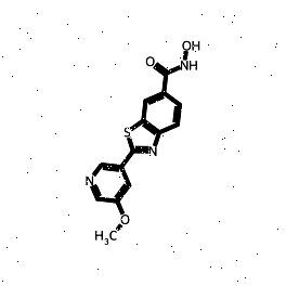 COc1cncc(-c2nc3ccc(C(=O)NO)cc3s2)c1